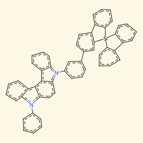 c1ccc(-n2c3ccccc3c3c4c5ccccc5n(-c5cccc(-c6ccc7c(c6)[Si]6(c8ccccc8-c8ccccc86)c6ccccc6-7)c5)c4ccc32)cc1